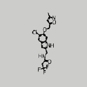 Cc1cc(COc2cc3[nH]c(CNC(=O)CC(F)(F)F)cc3cc2Cl)on1